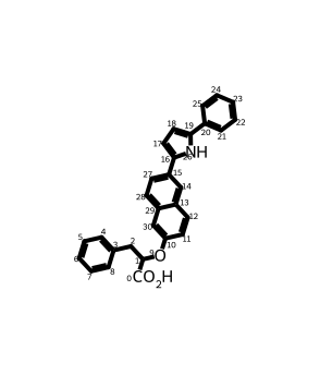 O=C(O)C(Cc1ccccc1)Oc1ccc2cc(-c3ccc(-c4ccccc4)[nH]3)ccc2c1